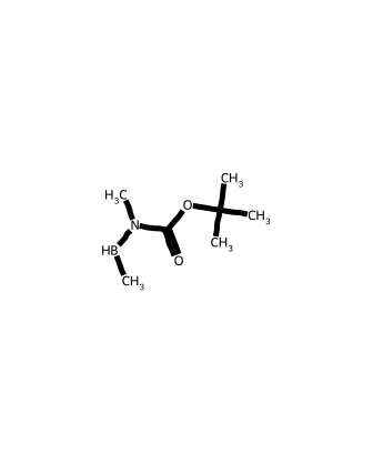 CBN(C)C(=O)OC(C)(C)C